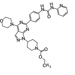 CCOC(=O)N1CCC(n2ncc3c(N4CCOCC4)nc(-c4ccc(NC(=O)Nc5ccccn5)cc4)nc32)CC1